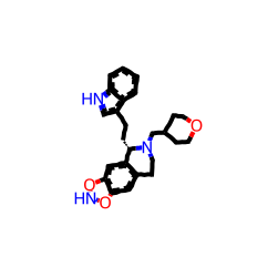 c1ccc2c(CC[C@H]3c4cc5c(cc4CCN3CC3CCOCC3)ONO5)c[nH]c2c1